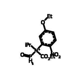 CCOC(=O)[N+](c1cc(OCC)ccc1[N+](=O)[O-])(C(C)C)[PH](C)=O